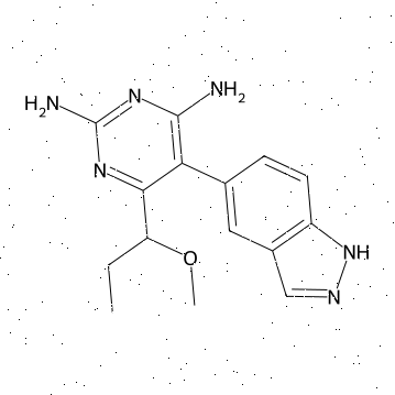 CCC(OC)c1nc(N)nc(N)c1-c1ccc2[nH]ncc2c1